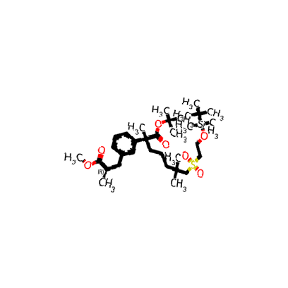 COC(=O)[C@H](C)Cc1cccc(C(C)(CCCC(C)(C)CS(=O)(=O)CCO[Si](C)(C)C(C)(C)C)C(=O)OC(C)(C)C)c1